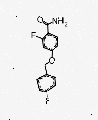 NC(=O)c1ccc(OCc2ccc(F)cc2)cc1F